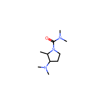 CC1C(N(C)C)CCN1C(=O)N(C)C